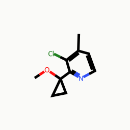 COC1(c2nccc(C)c2Cl)CC1